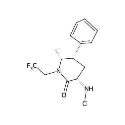 C[C@@H]1[C@H](c2ccccc2)C[C@H](NCl)C(=O)N1CC(F)(F)F